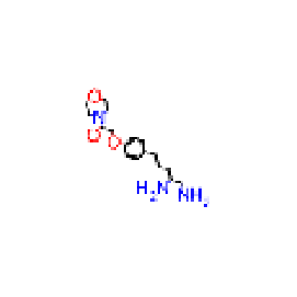 NCC(N)CCCc1ccc(OCC(=O)N2CCOCC2)cc1